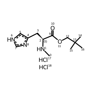 CN[C@@H](Cc1c[nH]cn1)C(=O)OCC(C)(C)C.Cl.Cl